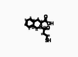 O=C(O)C1Cc2ccccc2CN1C(=O)CCS